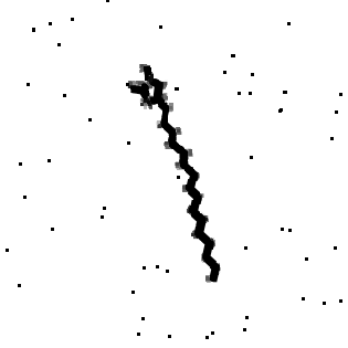 CCCCCCCCCCCCCCCCc1cn(C)c(C)n1